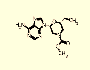 CC[C@@H]1CN(C(=O)OC)C[C@H](n2cnc3c(N)ncnc32)O1